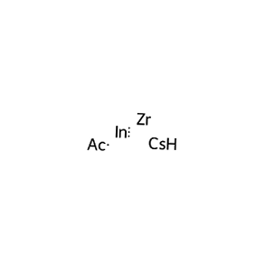 [Ac].[CsH].[In].[Zr]